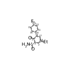 CCn1cc(C(N)=O)c(=O)c(-c2ccc(F)cc2)c1